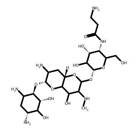 CNC1C(O[C@H]2OC(CO)[C@@H](NC(=O)CCN)[C@@H](O)C2O)O[C@H]2CC(N)[C@@H](O[C@@H]3C(N)C[C@@H](N)C(O)[C@H]3O)OC2C1O